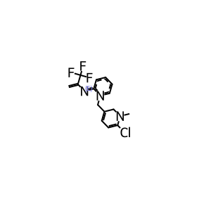 C=C(/N=c1\ccccn1CC1=CC=C(Cl)N(C)C1)C(F)(F)F